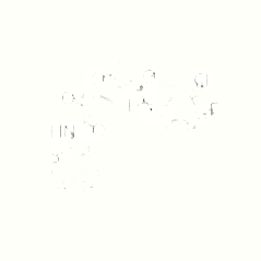 Cc1oc(C(=O)C(=O)NC2=CCC(C)C=CS2)cc1C(=O)Nc1ccc(F)c(Cl)c1